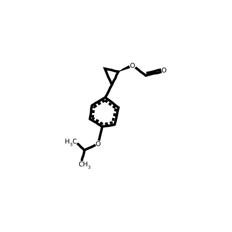 CC(C)Oc1ccc(C2C[C@H]2OC=O)cc1